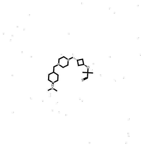 C[SH](C)N1CCC(CN2CCN(C[C@H]3C[C@H](OC(C)(C)C=S)C3)CC2)CC1